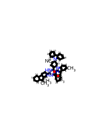 CC1=CC2c3cc(C)ccc3N(C3CC(n4c5ccccc5c5ccccc54)C(C#N)C=C3C3NC(C4=CC=CCC4)NC(C4C=C5C(CC4)C4CCCCC4C5(C)C)N3)C2C=C1